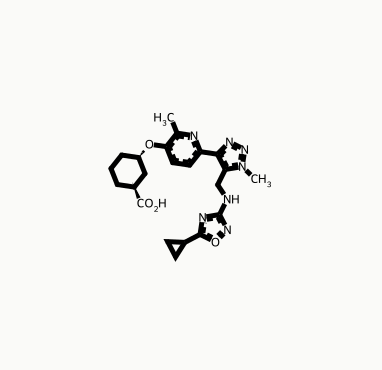 Cc1nc(-c2nnn(C)c2CNc2noc(C3CC3)n2)ccc1O[C@H]1CCC[C@H](C(=O)O)C1